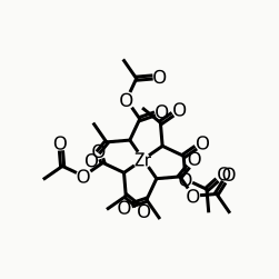 CC(=O)OC(=O)[CH](C(C)=O)[Zr]([CH](C(C)=O)C(=O)OC(C)=O)([CH](C(C)=O)C(=O)OC(C)=O)[CH](C(C)=O)C(=O)OC(C)=O